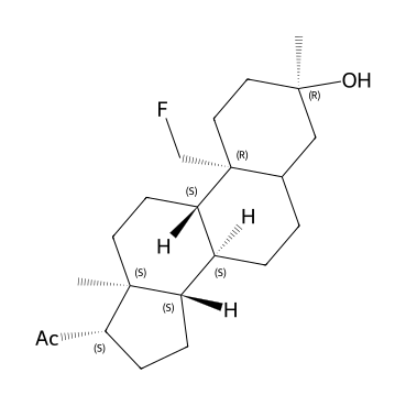 CC(=O)[C@H]1CC[C@H]2[C@@H]3CCC4C[C@](C)(O)CC[C@]4(CF)[C@H]3CC[C@]12C